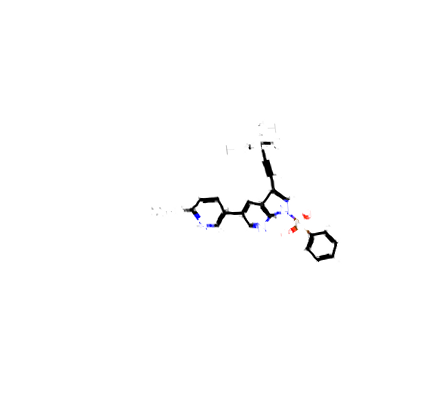 COc1ccc(-c2cnc3c(c2)c(C#C[Si](C)(C)C)cn3S(=O)(=O)c2ccccc2)cn1